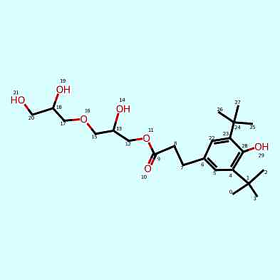 CC(C)(C)c1cc(CCC(=O)OCC(O)COCC(O)CO)cc(C(C)(C)C)c1O